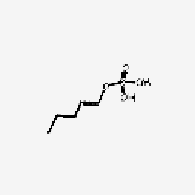 CCCC=COP(=O)(O)O